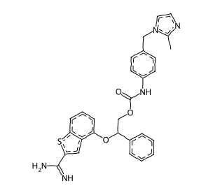 Cc1nccn1Cc1ccc(NC(=O)OCC(Oc2cccc3sc(C(=N)N)cc23)c2ccccc2)cc1